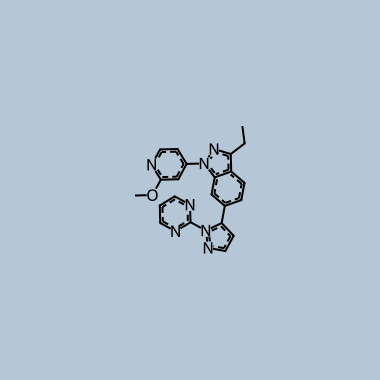 CCc1nn(-c2ccnc(OC)c2)c2cc(-c3ccnn3-c3ncccn3)ccc12